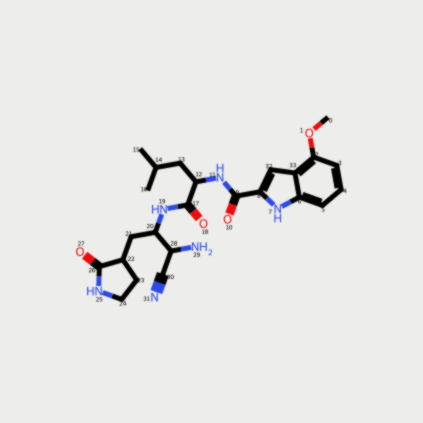 COc1cccc2[nH]c(C(=O)NC(CC(C)C)C(=O)NC(CC3CCNC3=O)C(N)C#N)cc12